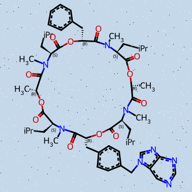 CC(C)C[C@H]1C(=O)O[C@H](Cc2ccc(Cn3cnc4ncncc43)cc2)C(=O)N(C)[C@@H](CC(C)C)C(=O)O[C@H](C)C(=O)N(C)[C@@H](CC(C)C)C(=O)O[C@H](Cc2ccccc2)C(=O)N(C)[C@@H](CC(C)C)C(=O)O[C@H](C)C(=O)N1C